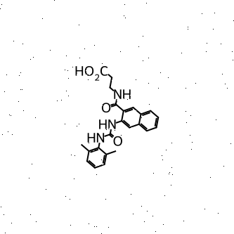 Cc1cccc(C)c1NC(=O)Nc1cc2ccccc2cc1C(=O)NCCC(=O)O